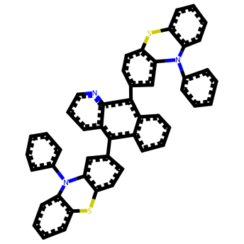 c1ccc(N2c3ccccc3Sc3ccc(-c4c5ccccc5c(-c5ccc6c(c5)N(c5ccccc5)c5ccccc5S6)c5ncccc45)cc32)cc1